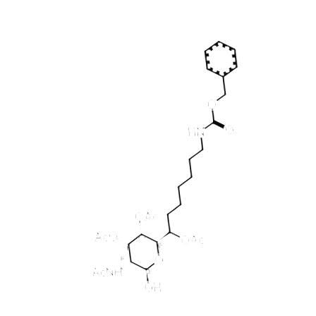 CC(=O)N[C@@H]1[C@H](OC(C)=O)[C@H](OC(C)=O)[C@@H](C(CCCCCCNC(=O)OCc2ccccc2)OC(C)=O)O[C@H]1O